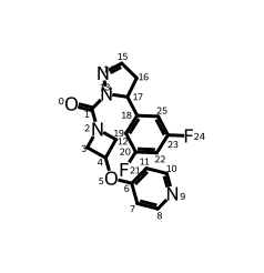 O=C(N1CC(Oc2ccncc2)C1)N1N=CCC1c1cc(F)cc(F)c1